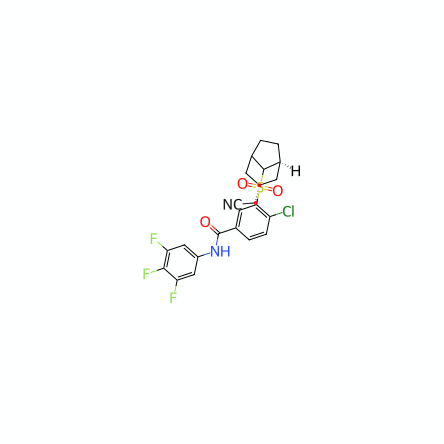 N#CC[C@@H]1CC2CC[C@@H](C1)C2S(=O)(=O)c1cc(C(=O)Nc2cc(F)c(F)c(F)c2)ccc1Cl